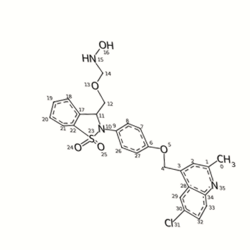 Cc1cc(COc2ccc(N3C(COCNO)c4ccccc4S3(=O)=O)cc2)c2cc(Cl)ccc2n1